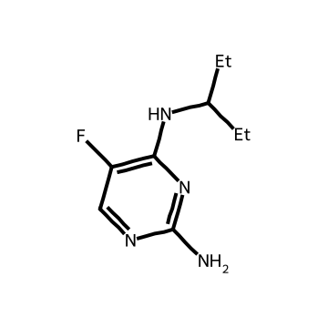 CCC(CC)Nc1nc(N)ncc1F